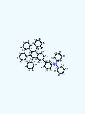 c1ccc(-c2c(-c3ccccc3)c(-c3ccccc3)c3cc(-c4cccc(N(c5ccccc5)c5ccccc5)c4)ccc3c2-c2ccccc2)cc1